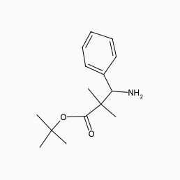 CC(C)(C)OC(=O)C(C)(C)C(N)c1ccccc1